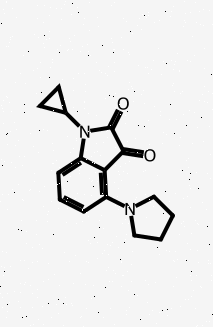 O=C1C(=O)N(C2CC2)c2cccc(N3CCCC3)c21